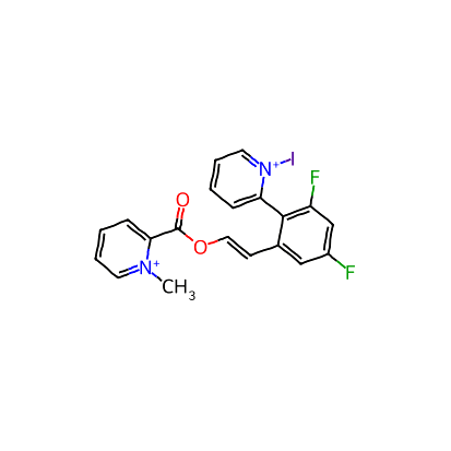 C[n+]1ccccc1C(=O)O/C=C/c1cc(F)cc(F)c1-c1cccc[n+]1I